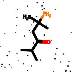 BC(C)(P)CC(=O)C(C)C